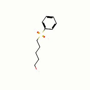 [O]CCCCCS(=O)(=O)c1ccccc1